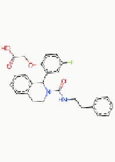 O=C(O)COc1ccc(F)cc1C1c2ccccc2CCN1C(=O)NCCc1ccccc1